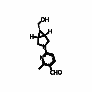 Cc1nc(N2C[C@@H]3[C@H](CO)[C@@H]3C2)ccc1C=O